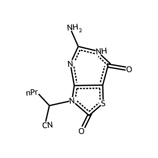 CCCC(C#N)n1c(=O)sc2c(=O)[nH]c(N)nc21